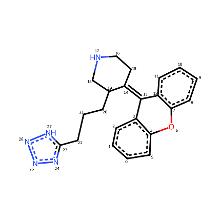 c1ccc2c(c1)Oc1ccccc1C2=C1CCNCC1CCCc1nnn[nH]1